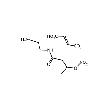 CC(CC(=O)NCCN)O[N+](=O)[O-].O=C(O)C=CC(=O)O